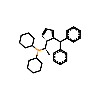 C[C@H]([C@@H]1C=CC=C1C(c1ccccc1)c1ccccc1)P(C1CCCCC1)C1CCCCC1